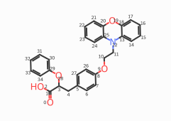 O=C(O)C(Cc1ccc(OCCN2c3ccccc3Oc3ccccc32)cc1)Oc1ccccc1